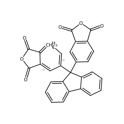 C=C1C(=O)OC(=O)/C1=C/C(=C\C)C1(c2ccc3c(c2)C(=O)OC3=O)c2ccccc2-c2ccccc21